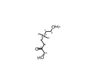 C[N+](C)(CCOI)CCC(=O)CO